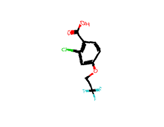 O=C(O)c1ccc(OCC(F)(F)F)cc1Cl